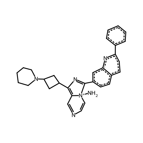 N[N+]12C=CN=CC1=C(C1CC(N3CCCCC3)C1)N=C2c1ccc2ccc(-c3ccccc3)nc2c1